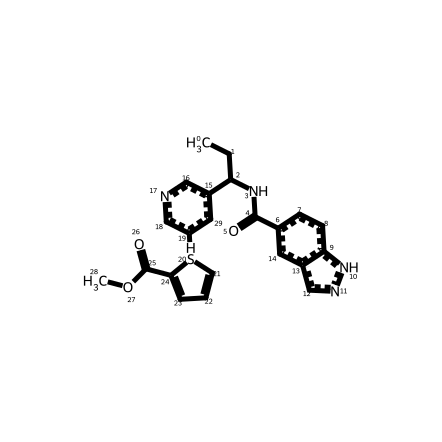 CCC(NC(=O)c1ccc2[nH]ncc2c1)c1cncc([SH]2C=CC=C2C(=O)OC)c1